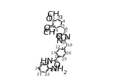 COc1ccc(Cc2nc(Cc3ccc(C(=O)Nc4ccccc4N)cc3)no2)cc1OC